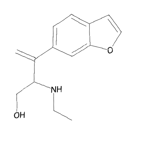 C=C(c1ccc2ccoc2c1)C(CO)NCC